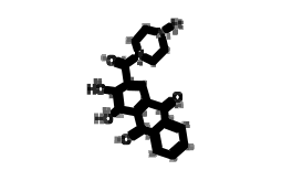 CCN1CCN(C(=O)c2cc3c(c(O)c2O)C(=O)c2ccccc2C3=O)CC1